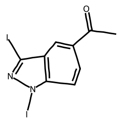 CC(=O)c1ccc2c(c1)c(I)nn2I